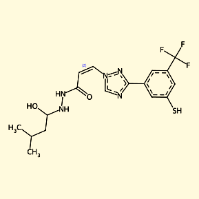 CC(C)CC(O)NNC(=O)/C=C\n1cnc(-c2cc(S)cc(C(F)(F)F)c2)n1